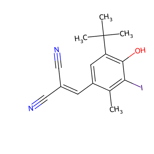 Cc1c(C=C(C#N)C#N)cc(C(C)(C)C)c(O)c1I